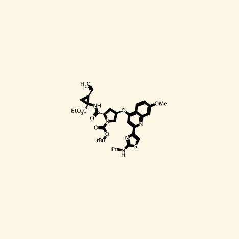 C=C[C@@H]1C[C@]1(NC(=O)[C@@H]1C[C@@H](Oc2cc(-c3csc(NC(C)C)n3)nc3cc(OC)ccc23)CN1C(=O)OC(C)(C)C)C(=O)OCC